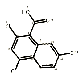 O=C(O)c1c(Cl)cc(Cl)c2ccc(Cl)cc12